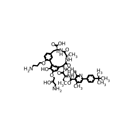 CC[C@H](NC(=O)c1c(C)cc(-c2ccc(C(C)(C)C)cc2)nc1N)C(=O)N(C)[C@@H]1C(=O)N[C@@H](C)C(=O)N[C@H](C(=O)O)Cc2ccc(OCCCN)c(c2)-c2cc1cc(OC[C@H](O)CN)c2O